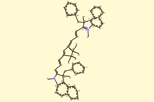 CN1/C(=C/C=C/C2=CC(=C/C=C/C3=[N+](C)c4ccc5ccccc5c4C3(C)Cc3ccccc3)/C(C)(C)C2(C)C)C(C)(Cc2ccccc2)c2c1ccc1ccccc21